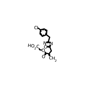 C=C(Cc1nc(Cc2ccc(Cl)cc2)no1)C(=O)OCC(=O)O